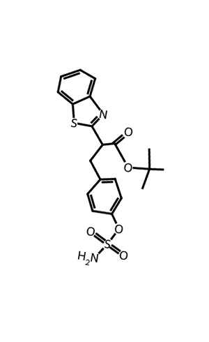 CC(C)(C)OC(=O)C(Cc1ccc(OS(N)(=O)=O)cc1)c1nc2ccccc2s1